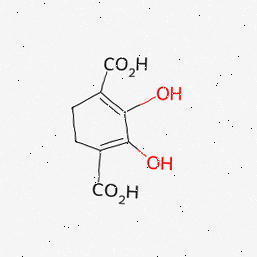 O=C(O)C1=C(O)C(O)=C(C(=O)O)CC1